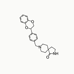 O=C1NCCC12CCN(Cc1ccc(C3COc4ccccc4O3)cc1)CC2